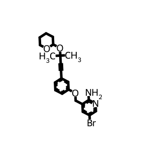 CC(C)(C#Cc1cccc(OCc2cc(Br)cnc2N)c1)OC1CCCCO1